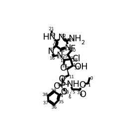 CCOC(=O)[C@H](C)N[P@](=O)(OC[C@H]1O[C@@H](n2cnc3c(NC)nc(N)nc32)[C@@](Cl)(CF)[C@@H]1O)Oc1ccccc1